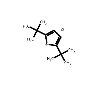 CC(C)(C)C1=CC=C(C(C)(C)C)[N]1.[Zr]